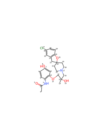 CC(=O)Nc1ccc(O)cc1OCC(C)(O)CN1CCC2(CC1)Cc1cc(Cl)ccc1O2